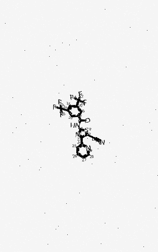 N#Cc1sc(NC(=O)c2cc(C(F)(F)F)cc(C(F)(F)F)c2)nc1-c1ccccn1